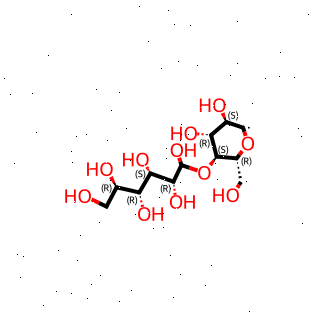 OC[C@@H](O)[C@@H](O)[C@H](O)[C@@H](O)C(O)O[C@H]1[C@H](O)[C@@H](O)[CH]O[C@@H]1CO